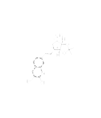 CC1(C)O[C@@H]2[C@@H](CCc3ccc4cc(Br)c(Cl)nc4c3)C[C@H](O)[C@@H]2O1